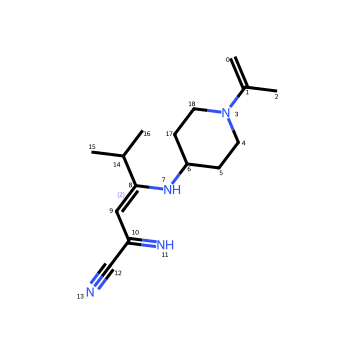 C=C(C)N1CCC(N/C(=C\C(=N)C#N)C(C)C)CC1